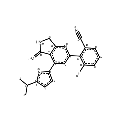 CC(C)n1ccc(-c2cc(-c3c(F)cccc3C#N)nc3c2C(=O)NC3)n1